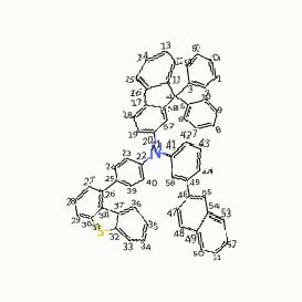 c1ccc(C2(c3ccccc3)c3ccccc3-c3ccc(N(c4ccc(-c5cccc6sc7ccccc7c56)cc4)c4cccc(-c5ccc6ccccc6c5)c4)cc32)cc1